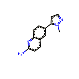 Cn1nccc1-c1ccc2nc(N)ccc2c1